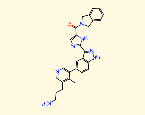 Cc1c(CCCN)cncc1-c1ccc2[nH]nc(-c3ncc(C(=O)N4Cc5ccccc5C4)[nH]3)c2c1